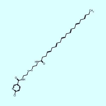 CCC=CCC=CCC=CCC=CCC=CCC=CCCC(=O)NCCSSCCNC(=O)c1ccc(Cl)nc1